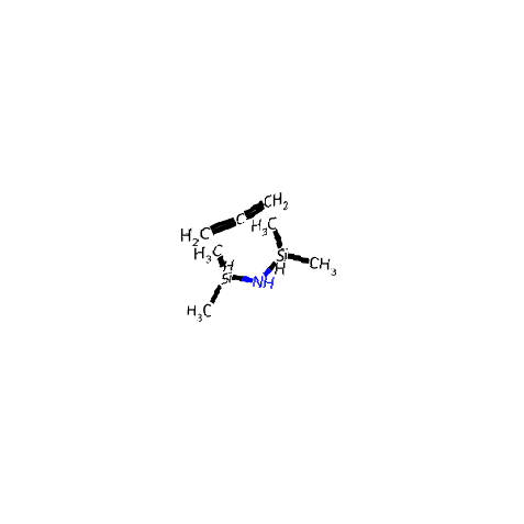 C=C=C.C[SiH](C)N[SiH](C)C